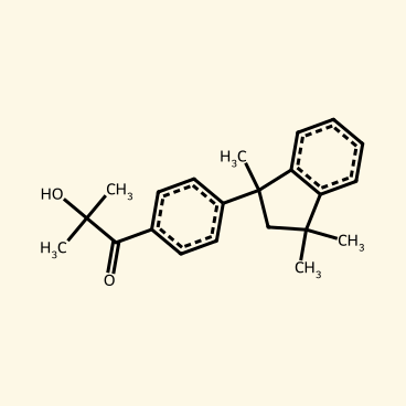 CC(C)(O)C(=O)c1ccc(C2(C)CC(C)(C)c3ccccc32)cc1